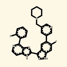 Fc1cc2[nH]nc(-c3nc4c(-c5ccccc5F)nccc4[nH]3)c2cc1-c1cncc(CN2CCCCC2)c1